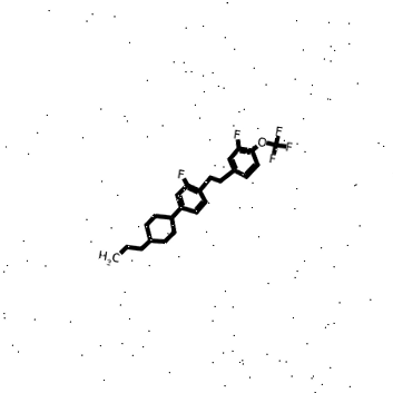 CCCC1CCC(c2ccc(CCc3ccc(OC(F)(F)F)c(F)c3)c(F)c2)CC1